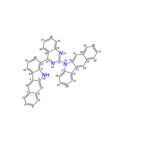 c1ccc2cc3c(cc2c1)[nH]c1c(-c2nc(-n4c5ccccc5c5cc6ccccc6cc54)nc4ccccc24)cccc13